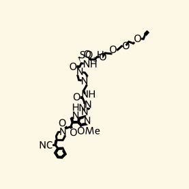 C#CCOCCOCCOCCOCCC(=O)N[C@@H](CS(=O)(=O)O)C(=O)N1CCN(CCNC(=O)c2ncn(-c3ncc(OC)c4c(C(=O)C(=O)N5CCC(=C(C#N)c6ccccc6)CC5)c[nH]c34)n2)CC1